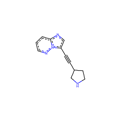 C(#CC1CCNC1)c1cnc2cccnn12